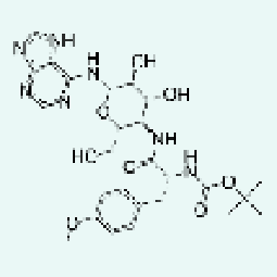 COc1ccc(C[C@@H](NC(=O)OC(C)(C)C)C(=O)N[C@@H]2[C@@H](O)[C@H](O)[C@@H](Nc3ncnc4nc[nH]c34)O[C@H]2CO)cc1